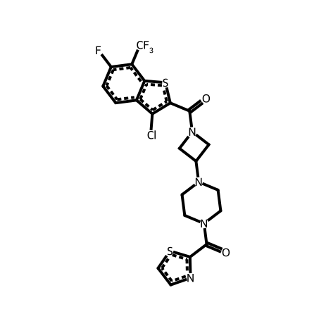 O=C(c1nccs1)N1CCN(C2CN(C(=O)c3sc4c(C(F)(F)F)c(F)ccc4c3Cl)C2)CC1